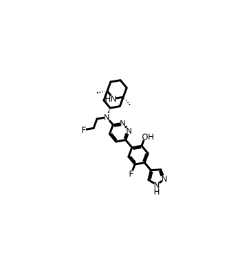 C[C@]12CCC[C@](C)(C[C@@H](N(CCF)c3ccc(-c4cc(F)c(-c5cn[nH]c5)cc4O)nn3)C1)N2